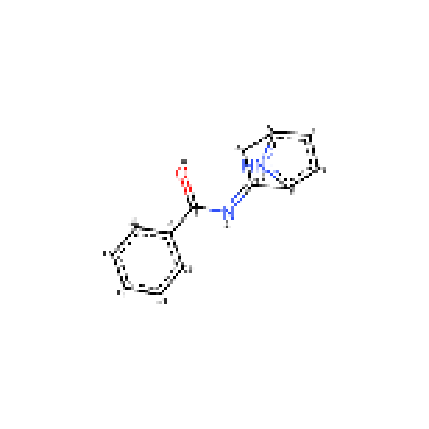 O=C(N=C1Cc2ccc1[nH]2)c1ccccc1